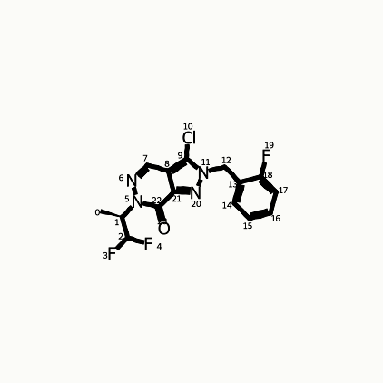 C[C@H](C(F)F)n1ncc2c(Cl)n(Cc3ccccc3F)nc2c1=O